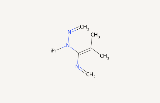 C=NC(=C(C)C)N(N=C)C(C)C